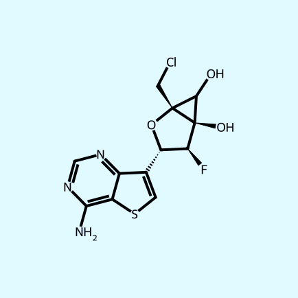 Nc1ncnc2c([C@@H]3O[C@]4(CCl)C(O)[C@]4(O)[C@H]3F)csc12